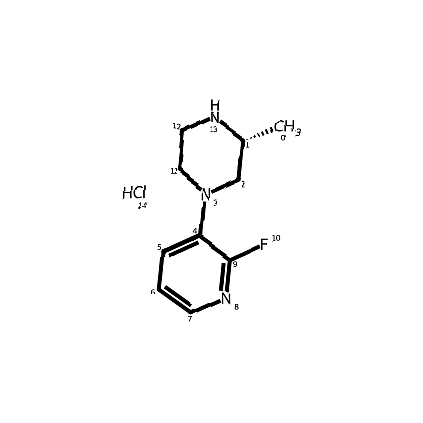 C[C@@H]1CN(c2cccnc2F)CCN1.Cl